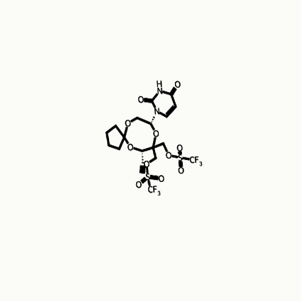 C#C[C@@H]1OC2(CCCC2)OC[C@H](n2ccc(=O)[nH]c2=O)OC1(COS(=O)(=O)C(F)(F)F)COS(=O)(=O)C(F)(F)F